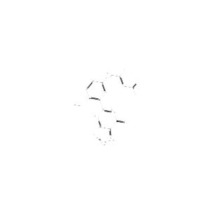 COc1ccc(NC(C)=CC(C)=O)cc1C1=NC(=O)C2=NN=NC2=N1